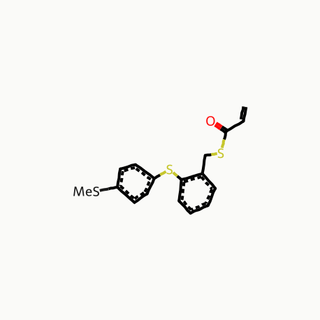 C=CC(=O)SCc1ccccc1Sc1ccc(SC)cc1